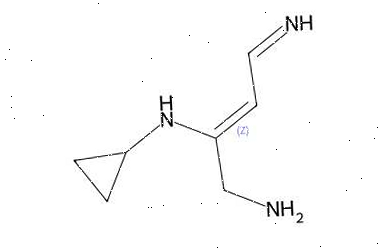 N=C/C=C(/CN)NC1CC1